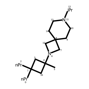 CCCC1(CCC)CC(C)(N2CC3(CCN(C(C)C)CC3)C2)C1